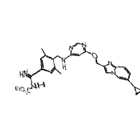 CCOC(=O)NC(=N)c1cc(C)c(CNc2cc(OCc3cn4cc(C5CC5)ccc4n3)ncn2)c(C)c1